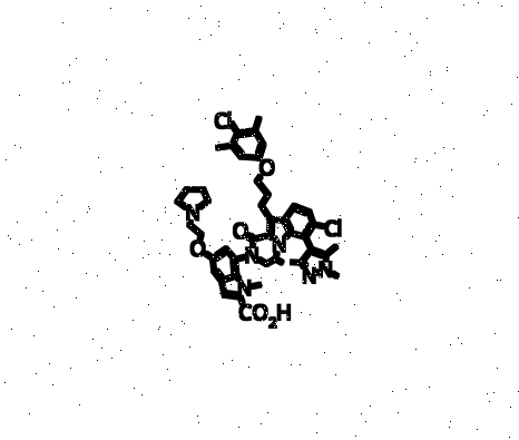 Cc1cc(OCCCc2c3n(c4c(-c5c(C)nn(C)c5C)c(Cl)ccc24)C(C)CN(c2cc(OCCN4CCCC4)cc4cc(C(=O)O)n(C)c24)C3=O)cc(C)c1Cl